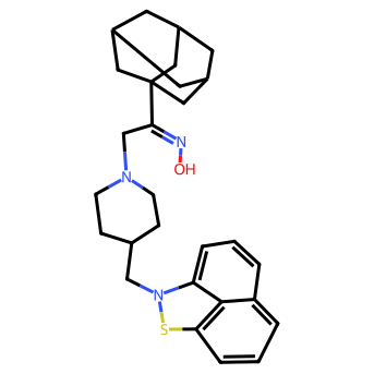 ON=C(CN1CCC(CN2Sc3cccc4cccc2c34)CC1)C12CC3CC(CC(C3)C1)C2